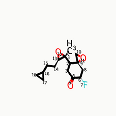 C[C@]1(C2CC(=O)[C@@H](F)C[C@]23CO3)O[C@@H]1CCC1CC1